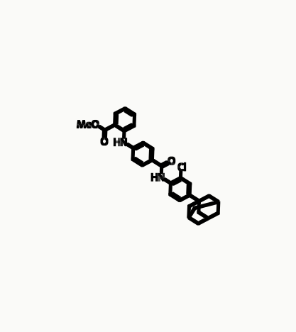 COC(=O)c1ccccc1Nc1ccc(C(=O)Nc2ccc(C34CC5CC(CC(C5)C3)C4)cc2Cl)cc1